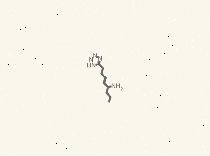 CCCC(N)CCCCc1nnn[nH]1